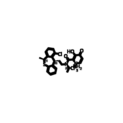 C[C@@H]1Sc2ccccc2[C@@H](CCN(C(=O)c2c(O)c(=O)ccn2N)[C@H](C)C(F)(F)F)c2c(Cl)cccc21